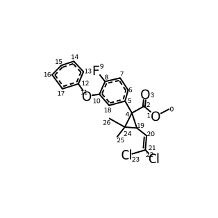 COC(=O)C1(c2ccc(F)c(Oc3ccccc3)c2)C(C=C(Cl)Cl)C1(C)C